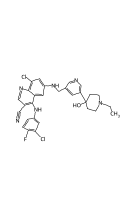 CCN1CCC(O)(c2cncc(CNc3cc(Cl)c4ncc(C#N)c(Nc5ccc(F)c(Cl)c5)c4c3)c2)CC1